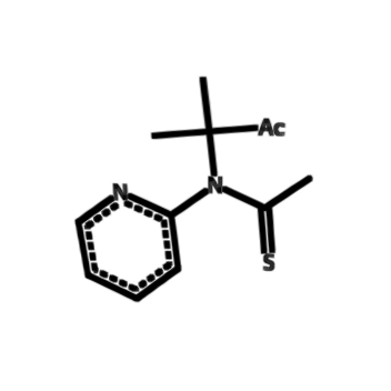 CC(=O)C(C)(C)N(C(C)=S)c1ccccn1